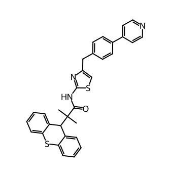 CC(C)(C(=O)Nc1nc(Cc2ccc(-c3ccncc3)cc2)cs1)C1c2ccccc2Sc2ccccc21